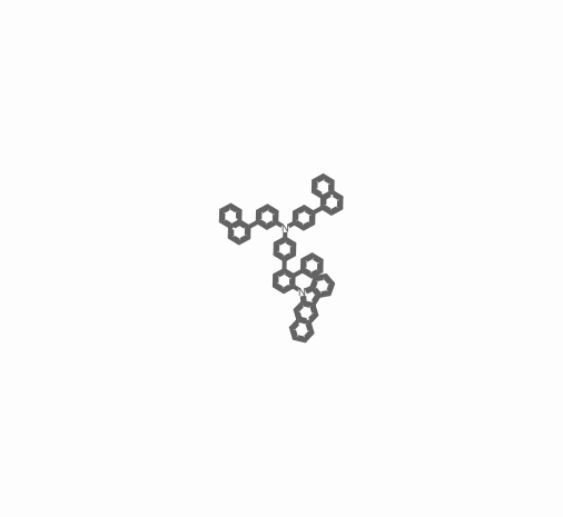 c1ccc(-c2c(-c3ccc(N(c4ccc(-c5cccc6ccccc56)cc4)c4cccc(-c5cccc6ccccc56)c4)cc3)cccc2-n2c3ccccc3c3cc4ccccc4cc32)cc1